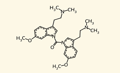 COc1ccc2c(CCN(C)C)cn(C(=O)n3cc(CCN(C)C)c4ccc(OC)cc43)c2c1